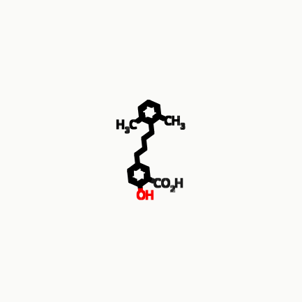 Cc1cccc(C)c1CCCCc1ccc(O)c(C(=O)O)c1